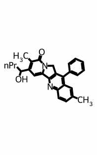 CCCC(O)c1cc2n(c(=O)c1C)Cc1c-2nc2ccc(C)cc2c1-c1ccccc1